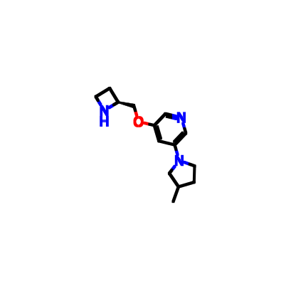 CC1CCN(c2cncc(OC[C@@H]3CCN3)c2)C1